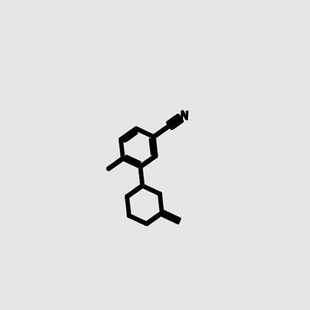 C=C1CCCC(c2cc(C#N)ccc2C)C1